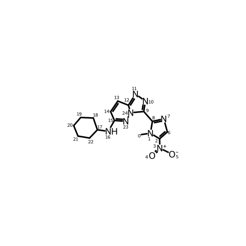 Cn1c([N+](=O)[O-])cnc1-c1nnc2ccc(NC3CCCCC3)nn12